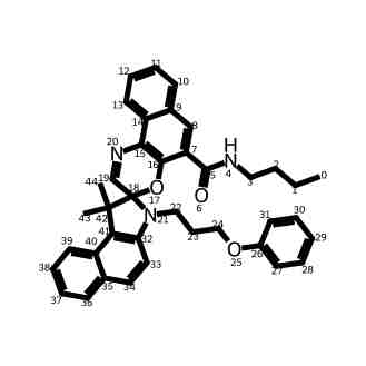 CCCCNC(=O)c1cc2ccccc2c2c1OC1(C=N2)N(CCCOc2ccccc2)c2ccc3ccccc3c2C1(C)C